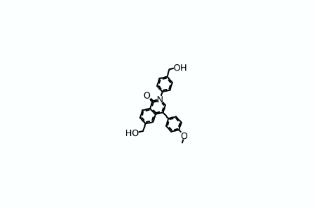 COc1ccc(-c2cn(-c3ccc(CO)cc3)c(=O)c3ccc(CO)cc23)cc1